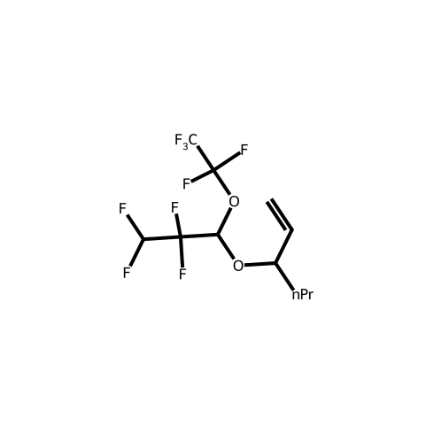 C=CC(CCC)OC(OC(F)(F)C(F)(F)F)C(F)(F)C(F)F